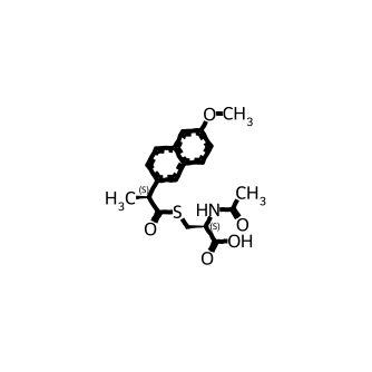 COc1ccc2cc([C@H](C)C(=O)SC[C@@H](NC(C)=O)C(=O)O)ccc2c1